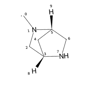 [CH2]N1C[C@@H]2C[C@H]1CN2